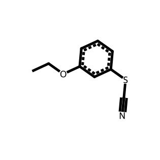 CCOc1cccc(SC#N)c1